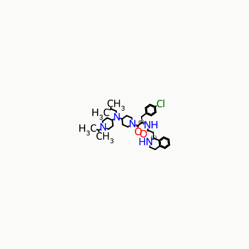 CC(C)CN(C1CCN(C(=O)[C@@H](Cc2ccc(Cl)cc2)NC(=O)C[C@@H]2NCCc3ccccc32)CC1)C1CCN(C(C)C)CC1